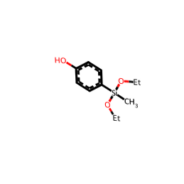 CCO[Si](C)(OCC)c1ccc(O)cc1